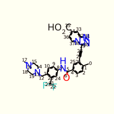 Cc1ccc(C(=O)Nc2ccc(CN3CCN(C)CC3)c(C(F)F)c2)cc1C#Cc1nnc2cc(C(=O)O)ccn12